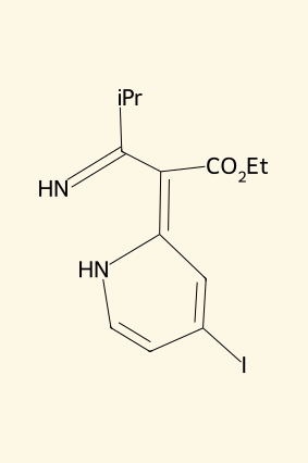 CCOC(=O)/C(C(=N)C(C)C)=C1\C=C(I)C=CN1